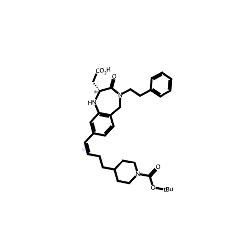 CC(C)(C)OC(=O)N1CCC(CC/C=C\c2ccc3c(c2)N[C@H](CC(=O)O)C(=O)N(CCc2ccccc2)C3)CC1